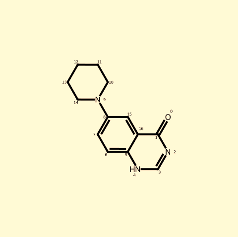 O=c1nc[nH]c2ccc(N3CCCCC3)cc12